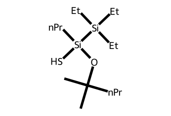 CCCC(C)(C)O[Si](S)(CCC)[Si](CC)(CC)CC